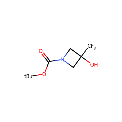 CC(C)(C)OC(=O)N1CC(O)(C(F)(F)F)C1